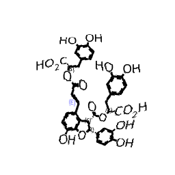 O=C(/C=C/c1ccc(O)c2c1[C@H](C(=O)O[C@@H](Cc1ccc(O)c(O)c1)C(=O)O)[C@H](c1ccc(O)c(O)c1)O2)O[C@@H](Cc1ccc(O)c(O)c1)C(=O)O